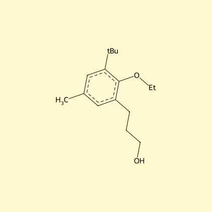 CCOc1c(CCCO)cc(C)cc1C(C)(C)C